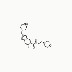 Cc1cc2nn(CC3CCNCC3)cc2cc1C(=O)NCCN1CCOCC1